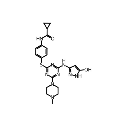 CN1CCN(c2nc(Nc3cc(O)[nH]n3)nc(Sc3ccc(NC(=O)C4CC4)cc3)n2)CC1